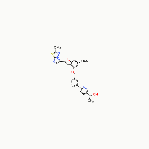 COc1cc(OCc2cccc(-c3ccc(C(C)O)cn3)c2)c2cc(-c3cnc4sc(OC)nn34)oc2c1